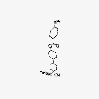 CCCCCCCC1(C#N)CCC(C2CCC(OC(=O)[C@H]3CC[C@H](CCC)CC3)CC2)CC1